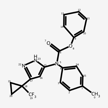 Cc1ccc(N(C(=O)Oc2ccccc2)c2cc(C3(C(F)(F)F)CC3)n[nH]2)cc1